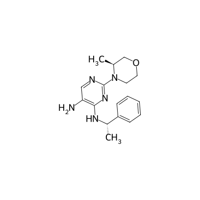 C[C@H](Nc1nc(N2CCOC[C@@H]2C)ncc1N)c1ccccc1